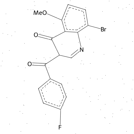 COc1ccc(Br)c2c1C(=O)C(C(=O)c1ccc(F)cc1)C=N2